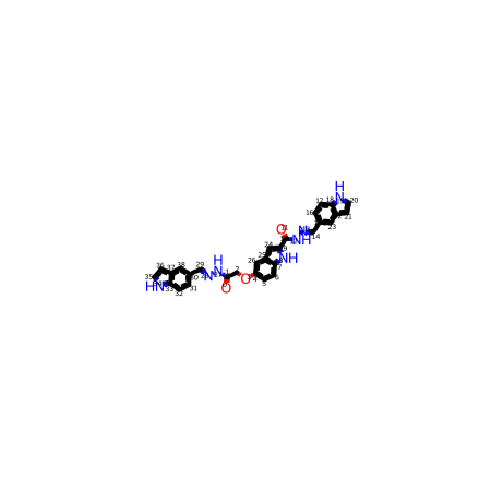 O=C(COc1ccc2[nH]c(C(=O)N/N=C/c3ccc4[nH]ccc4c3)cc2c1)N/N=C/c1ccc2[nH]ccc2c1